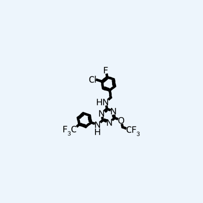 Fc1ccc(CNc2nc(Nc3cccc(C(F)(F)F)c3)nc(OCC(F)(F)F)n2)cc1Cl